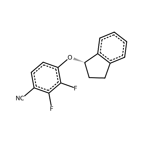 N#Cc1ccc(O[C@H]2CCc3ccccc32)c(F)c1F